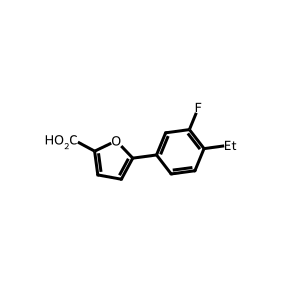 CCc1ccc(-c2ccc(C(=O)O)o2)cc1F